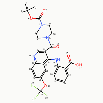 CC(C)(C)OC(=O)N1CCN(C(=O)c2cnc3ccc(OC(F)(F)F)cc3c2Nc2ccccc2C(=O)O)CC1